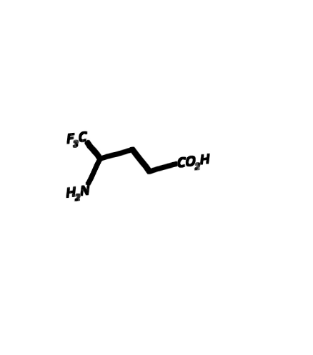 NC(CCC(=O)O)C(F)(F)F